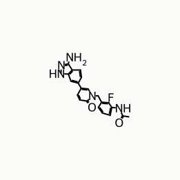 CC(=O)Nc1cccc(Cn2cc(-c3ccc4c(N)n[nH]c4c3)ccc2=O)c1F